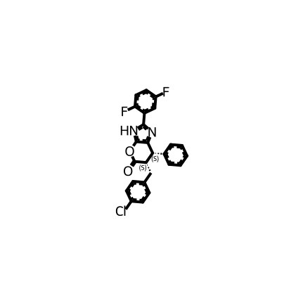 O=C1Oc2[nH]c(-c3cc(F)ccc3F)nc2[C@H](c2ccccc2)[C@@H]1Cc1ccc(Cl)cc1